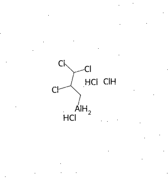 Cl.Cl.Cl.[AlH2][CH2]C(Cl)C(Cl)Cl